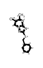 Cc1nc2nc(SCc3ccccc3)nn2cc1Cl